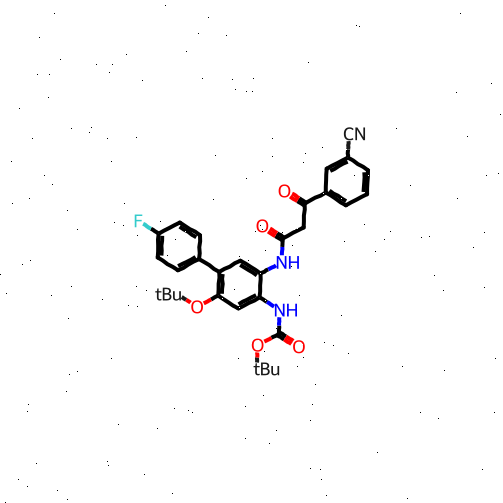 CC(C)(C)OC(=O)Nc1cc(OC(C)(C)C)c(-c2ccc(F)cc2)cc1NC(=O)CC(=O)c1cccc(C#N)c1